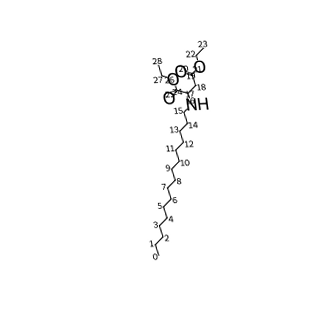 CCCCCCCCCCCCCCCCNC(CC(=O)OCC)C(=O)OCC